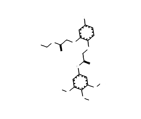 CCOC(=O)COc1cc(N)ccc1OCC(=O)Nc1cc(OC)c(OC)c(OC)c1